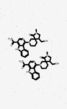 CN1CC(CO)C2(CCCN(c3ncc(C(N)=O)c4[nH]c5ccccc5c34)C2)C1=O.CN1CC(CO)C2(CCCN(c3ncc(C(N)=O)c4[nH]c5ccccc5c34)C2)C1=O